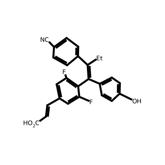 CC/C(=C(\c1ccc(O)cc1)c1c(F)cc(/C=C/C(=O)O)cc1F)c1ccc(C#N)cc1